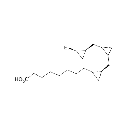 CC[C@@H]1C[C@@H]1CC1CC1C[C@H]1CC1CCCCCCCC(=O)O